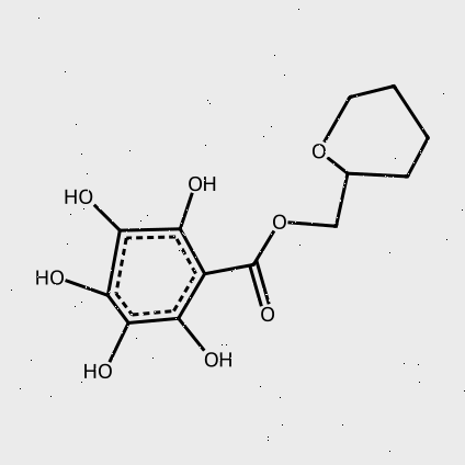 O=C(OCC1CCCCO1)c1c(O)c(O)c(O)c(O)c1O